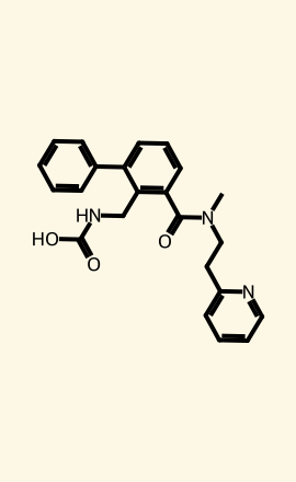 CN(CCc1ccccn1)C(=O)c1cccc(-c2ccccc2)c1CNC(=O)O